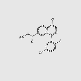 COC(=O)c1ccc2c(Cl)cnc(-c3cc(Cl)ccc3F)c2c1